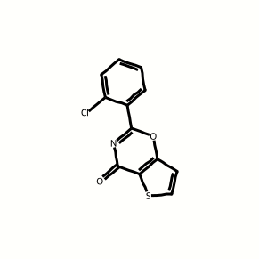 O=c1nc(-c2ccccc2Cl)oc2ccsc12